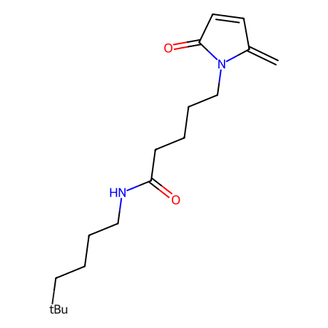 C=C1C=CC(=O)N1CCCCC(=O)NCCCCC(C)(C)C